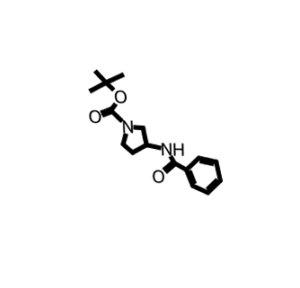 CC(C)(C)OC(=O)N1CCC(NC(=O)c2ccccc2)C1